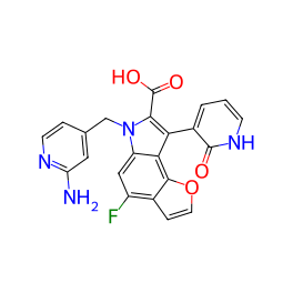 Nc1cc(Cn2c(C(=O)O)c(-c3ccc[nH]c3=O)c3c4occc4c(F)cc32)ccn1